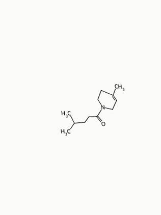 CC1=CCN(C(=O)CCC(C)C)CC1